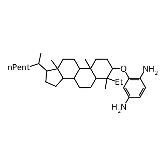 CCCCCC(C)C1CCC2C3CCC4C(C)(CC)C(Oc5cc(N)ccc5N)CCC4(C)C3CCC12C